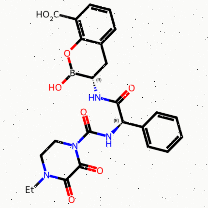 CCN1CCN(C(=O)N[C@@H](C(=O)N[C@H]2Cc3cccc(C(=O)O)c3OB2O)c2ccccc2)C(=O)C1=O